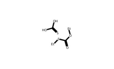 CCOC(=O)SCC.OC(O)=S